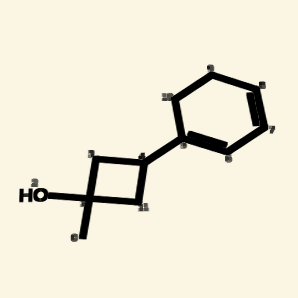 CC1(O)CC(C2=CC=CCC2)C1